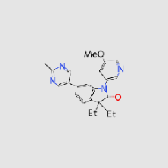 CCC1(CC)C(=O)N(c2cncc(OC)c2)c2cc(-c3cnc(C)nc3)ccc21